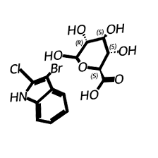 Clc1[nH]c2ccccc2c1Br.O=C(O)[C@H]1OC(O)[C@H](O)[C@@H](O)[C@@H]1O